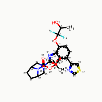 CC(O)C(F)(F)Oc1ccc(-c2cscn2)c2oc(N3CC4CCC(C3)N4C(=O)OC(C)(C)C)nc12